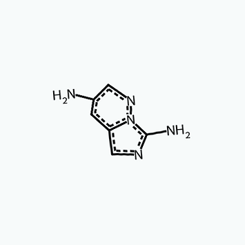 Nc1cnn2c(N)ncc2c1